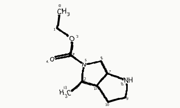 CCOC(=O)N1CC2NCCC2C1C